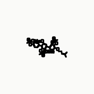 COc1cc(-c2ccc(OCCC=C(C)C)c(OS(C)(=O)=O)c2)c(OC)c(OS(C)(=O)=O)c1-c1ccc(OS(C)(=O)=O)cc1